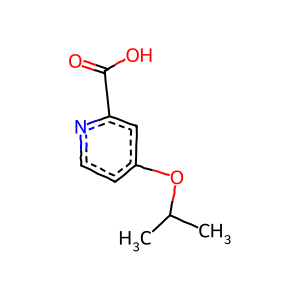 CC(C)Oc1ccnc(C(=O)O)c1